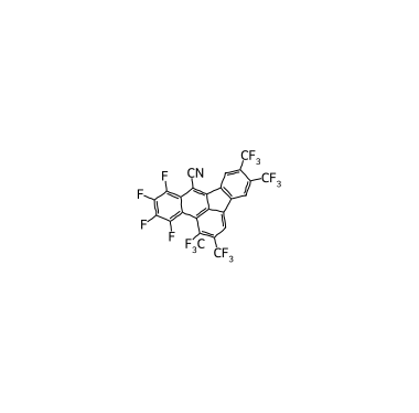 N#Cc1c2c3c(cc(C(F)(F)F)c(C(F)(F)F)c3c3c(F)c(F)c(F)c(F)c13)-c1cc(C(F)(F)F)c(C(F)(F)F)cc1-2